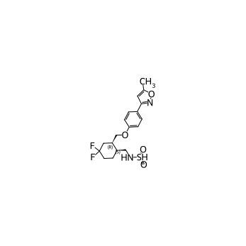 Cc1cc(-c2ccc(OC[C@@H]3CC(F)(F)CC[C@@H]3CN[SH](=O)=O)cc2)no1